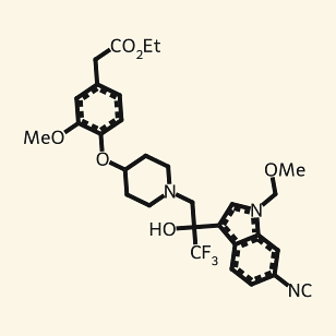 [C-]#[N+]c1ccc2c(C(O)(CN3CCC(Oc4ccc(CC(=O)OCC)cc4OC)CC3)C(F)(F)F)cn(COC)c2c1